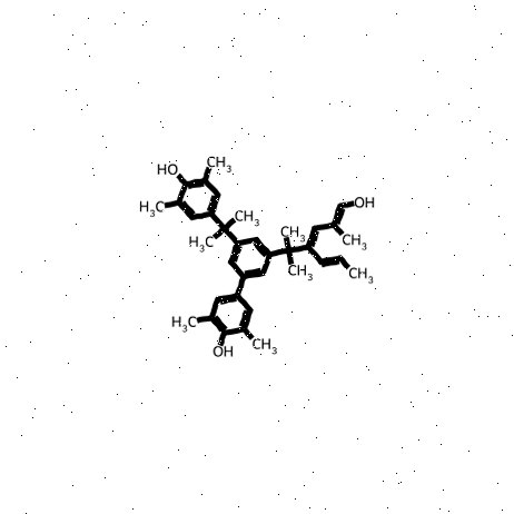 C/C=C/C(=C\C(C)=C\O)C(C)(C)c1cc(-c2cc(C)c(O)c(C)c2)cc(C(C)(C)c2cc(C)c(O)c(C)c2)c1